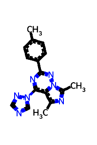 Cc1ccc(-c2nc(-n3cncn3)c3c(C)nc(C)n3n2)cc1